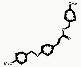 COc1ccc(COC(=O)/C=C/c2ccc(OCc3ccc(OC)cc3)cc2)cc1